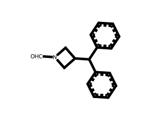 O=CN1CC(C(c2ccccc2)c2ccccc2)C1